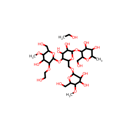 COC1C(CO)OC(OCC2OC(OC3C(CO)OC(C)C(O)C3O)C(O)C(O)C2OC2OC(CO)C(OC)C(O)C2OCCO)C(O)C1O.[CH2]CO